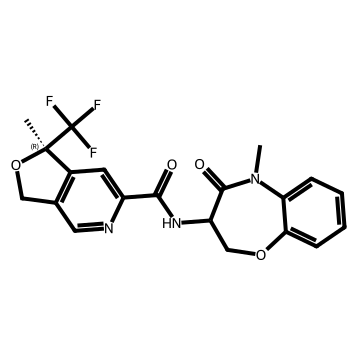 CN1C(=O)C(NC(=O)c2cc3c(cn2)CO[C@@]3(C)C(F)(F)F)COc2ccccc21